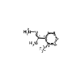 N/N=C(\N)c1cccnc1C(F)(F)F